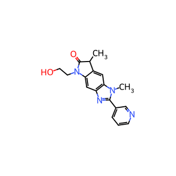 CC1C(=O)N(CCO)c2cc3nc(-c4cccnc4)n(C)c3cc21